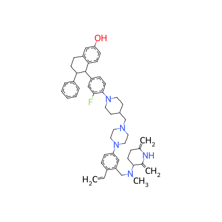 C=Cc1ccc(N2CCN(CC3CCN(c4ccc(C5c6ccc(O)cc6CCC5c5ccccc5)cc4F)CC3)CC2)cc1CN(C)C1CCC(=C)NC1=C